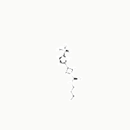 CCCCOC(=O)N1CC(c2ccc(S(=O)(=O)Cl)s2)C1